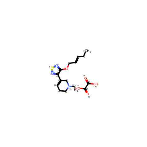 CC/C=C/COc1nsnc1C1=CCCN(C)C1.O=C(O)C(=O)O